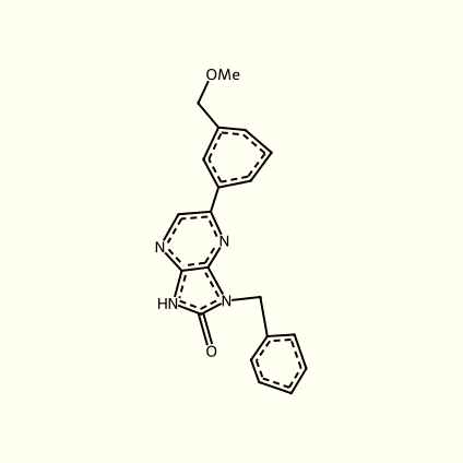 COCc1cccc(-c2cnc3[nH]c(=O)n(Cc4ccccc4)c3n2)c1